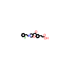 O=C(O)C=Cc1ccc2c(c1)C(=O)CC1(CCN(CCc3ccccc3F)CC1)O2